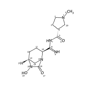 CN1CC[C@@H](C(=O)NC(=N)[C@@H]2CC[C@@H]3CN2C(=O)N3O)C1